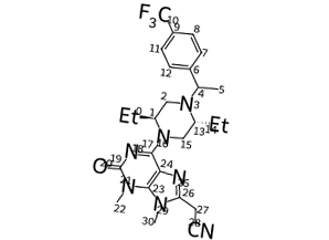 CC[C@H]1CN(C(C)c2ccc(C(F)(F)F)cc2)[C@H](CC)CN1c1nc(=O)n(C)c2c1nc(CC#N)n2C